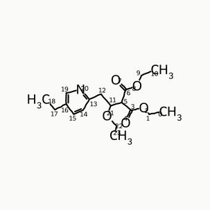 CCOC(=O)C(C(=O)OCC)C(Cc1ccc(CC)cn1)OCC